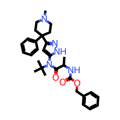 CC(NC(=O)OCc1ccccc1)C(=O)N(c1cc(C2(c3ccccc3)CCN(C)CC2)n[nH]1)C(C)(C)C